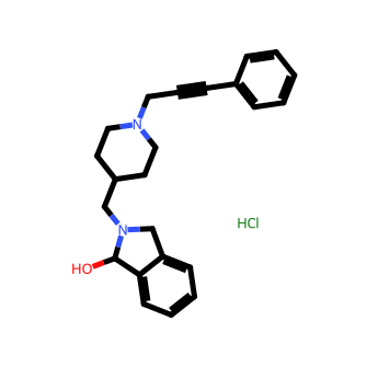 Cl.OC1c2ccccc2CN1CC1CCN(CC#Cc2ccccc2)CC1